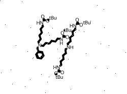 CC(C)(C)OC(=O)NCCCCCCN(CCCCCCNC(=O)OC(C)(C)C)Cc1ccccc1.CC(C)(C)OC(=O)NCCCCCCNCCCCCCNC(=O)OC(C)(C)C